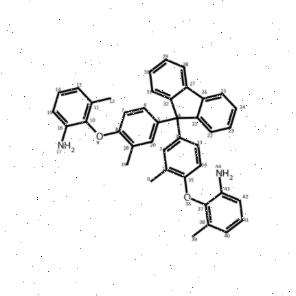 Cc1cc(C2(c3ccc(Oc4c(C)cccc4N)c(C)c3)c3ccccc3-c3ccccc32)ccc1Oc1c(C)cccc1N